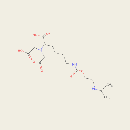 CC(C)NCCOC(=O)NCCCCC(C(=O)O)N(CC(=O)O)CC(=O)O